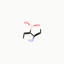 C/C=C(B(O)O)\C(N)=C/C